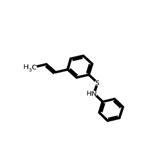 C/C=C/c1cccc(SNc2ccccc2)c1